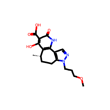 COCCCn1ncc2c1CC[C@H](C)c1c-2[nH]c(=O)c(C(=O)O)c1O